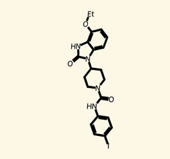 CCOc1cccc2c1[nH]c(=O)n2C1CCN(C(=O)Nc2ccc(I)cc2)CC1